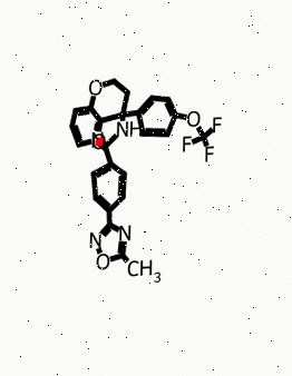 Cc1nc(-c2ccc(C(=O)NC3(c4ccc(OC(F)(F)F)cc4)CCOc4cccnc43)cc2)no1